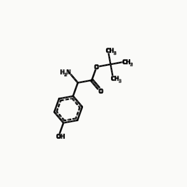 CC(C)(C)OC(=O)C(N)c1ccc(O)cc1